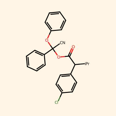 CC(C)C(C(=O)OC(C#N)(Oc1ccccc1)c1ccccc1)c1ccc(Cl)cc1